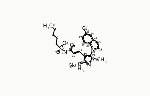 CCCCCS(=O)(=O)[N-]C(=O)/C=C/c1c(C)nn(C)c1-n1ccc2cc(Cl)ccc21.[Na+]